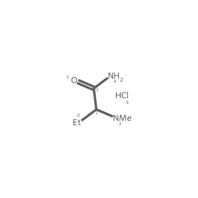 CCC(NC)C(N)=O.Cl